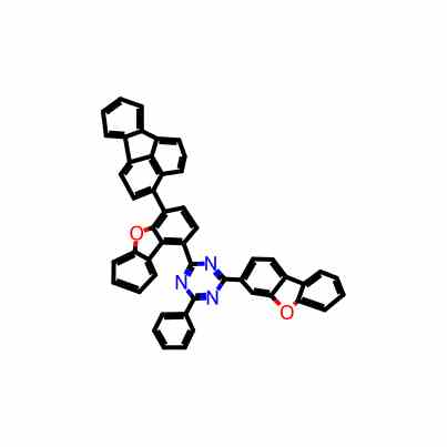 c1ccc(-c2nc(-c3ccc4c(c3)oc3ccccc34)nc(-c3ccc(-c4ccc5c6c(cccc46)-c4ccccc4-5)c4oc5ccccc5c34)n2)cc1